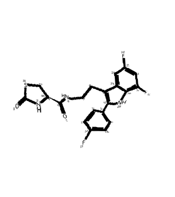 O=C1N[C@H](C(=O)NCCc2c(-c3ccc(F)cc3)[nH]c3c(F)cc(F)cc23)CS1